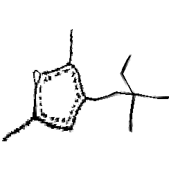 Cc1cc(C(C)(C)C)c(C)o1